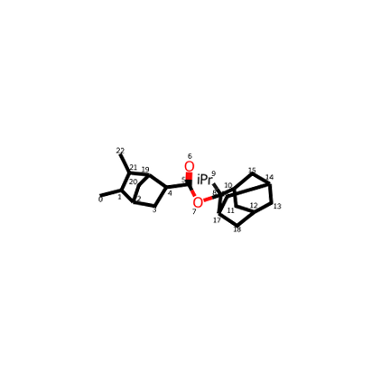 CC1C2CC(C(=O)OC3(C(C)C)C4CC5CC(C4)CC3C5)C(C2)C1C